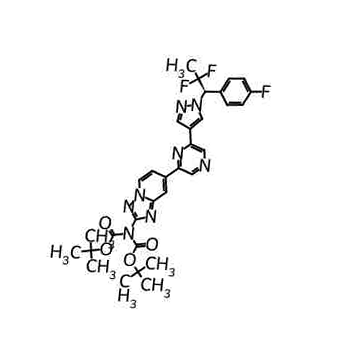 CC(C)(C)OC(=O)N(C(=O)OC(C)(C)C)c1nc2cc(-c3cncc(-c4cnn([C@H](c5ccc(F)cc5)C(C)(F)F)c4)n3)ccn2n1